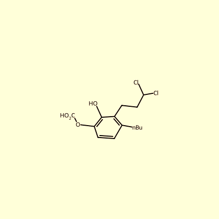 CCCCc1ccc(OC(=O)O)c(O)c1CCC(Cl)Cl